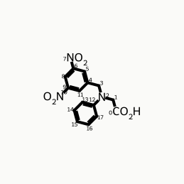 O=C(O)CN(Cc1cc([N+](=O)[O-])cc([N+](=O)[O-])c1)c1ccccc1